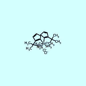 CC(C)(C)C1=[C]([Hf+2]([CH3])([CH3])([SiH3])[C]2=C(C(C)(C)C)C=CC2)CC=C1.[Cl-].[Cl-]